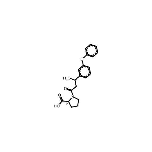 CC(CC(=O)N1CCC[C@H]1C(=O)O)c1cccc(Oc2ccccc2)c1